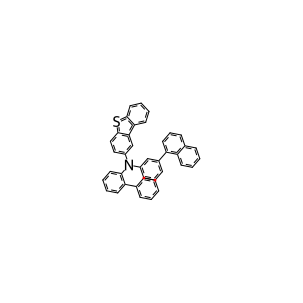 c1ccc(-c2ccccc2N(c2cccc(-c3cccc4ccccc34)c2)c2ccc3sc4ccccc4c3c2)cc1